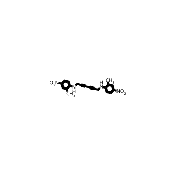 Cc1cc([N+](=O)[O-])ccc1NCC#CC#CCNc1ccc([N+](=O)[O-])cc1C